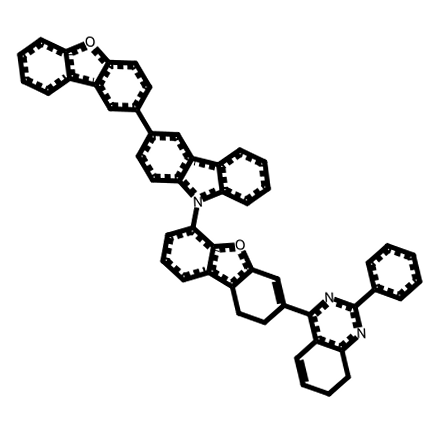 C1=Cc2c(nc(-c3ccccc3)nc2C2=Cc3oc4c(-n5c6ccccc6c6cc(-c7ccc8oc9ccccc9c8c7)ccc65)cccc4c3CC2)CC1